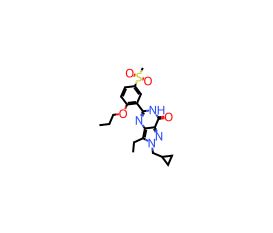 CCCOc1ccc(S(C)(=O)=O)cc1-c1nc2c(CC)n(CC3CC3)nc2c(=O)[nH]1